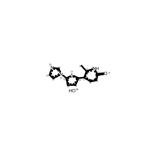 Cc1[nH]c(=O)ccc1-c1ccc(-n2ccnc2)s1.Cl